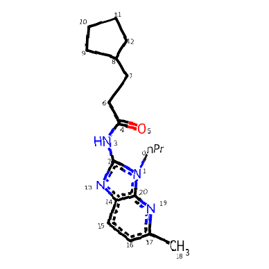 CCCn1c(NC(=O)CCC2CCCC2)nc2ccc(C)nc21